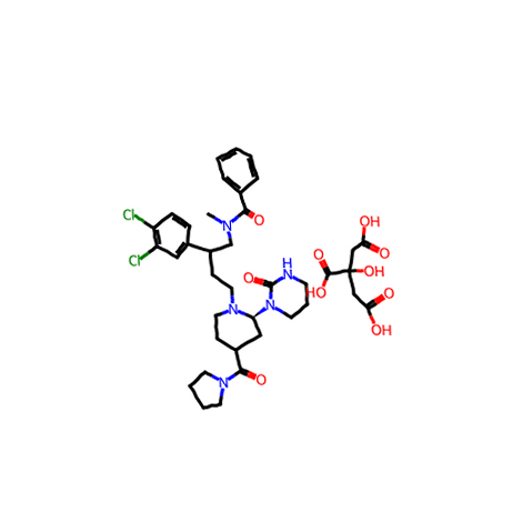 CN(CC(CCN1CCC(C(=O)N2CCCC2)C[C@@H]1N1CCCNC1=O)c1ccc(Cl)c(Cl)c1)C(=O)c1ccccc1.O=C(O)CC(O)(CC(=O)O)C(=O)O